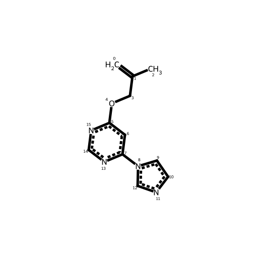 C=C(C)COc1cc(-n2ccnc2)ncn1